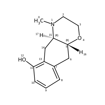 CN1CCO[C@@H]2Cc3cccc(O)c3C[C@H]21